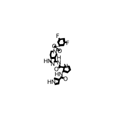 O=C(Nc1cccnc1C(=O)Nc1n[nH]c2c1CN(S(=O)(=O)c1cc(F)cc(F)c1)CC2)c1cc[nH]c1